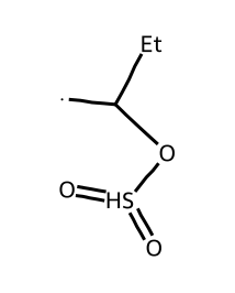 [CH2]C(CC)O[SH](=O)=O